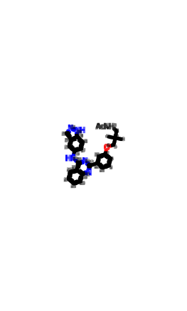 CC(=O)NCC(C)(C)COc1cccc(-c2nc(Nc3ccc4[nH]ncc4c3)c3ccccc3n2)c1